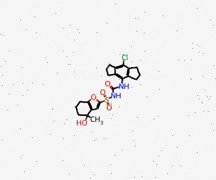 CC1(O)CCCc2oc(S(=O)(=O)NC(=O)Nc3c4c(c(Cl)c5c3CCC5)CCC4)cc21